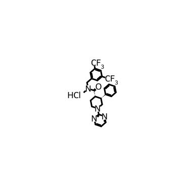 CN(Cc1cc(C(F)(F)F)cc(C(F)(F)F)c1)C(=O)[C@H]1CCN(c2ncccn2)C[C@H]1c1ccccc1.Cl